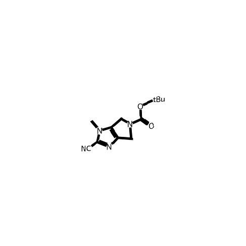 Cn1c(C#N)nc2c1CN(C(=O)OC(C)(C)C)C2